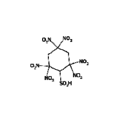 O=[N+]([O-])C1([N+](=O)[O-])CC([N+](=O)[O-])([N+](=O)[O-])C(S(=O)(=O)O)C([N+](=O)[O-])([N+](=O)[O-])C1